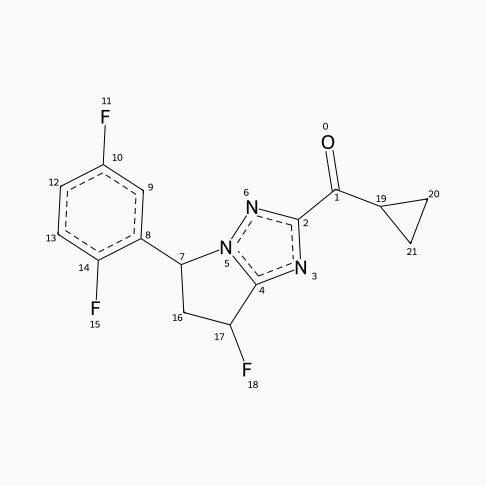 O=C(c1nc2n(n1)C(c1cc(F)ccc1F)CC2F)C1CC1